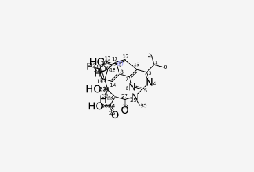 CC(C)c1nc2nc(-c3ccc(F)cc3)c1/C=C\[C@@H](O)C[C@@H](O)C(C(=O)O)C(=O)N2C